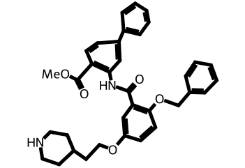 COC(=O)c1ccc(-c2ccccc2)cc1NC(=O)c1cc(OCCC2CCNCC2)ccc1OCc1ccccc1